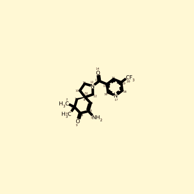 CC1(C)C[C@@]2(C=C(N)C1=O)CCN(C(=O)c1cncc(C(F)(F)F)c1)C2